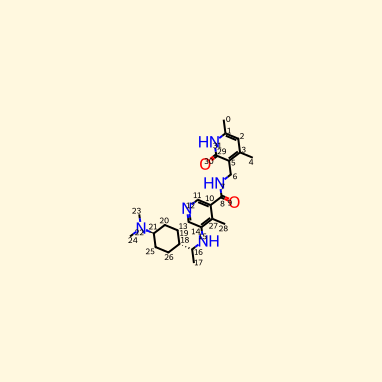 Cc1cc(C)c(CNC(=O)c2cncc(NC(C)[C@H]3CC[C@H](N(C)C)CC3)c2C)c(=O)[nH]1